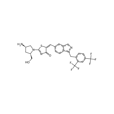 N[C@@H]1C[C@H](CO)N(C2=NC(=O)/C(=C\c3ccc4c(cnn4Cc4ccc(C(F)(F)F)cc4C(F)(F)F)c3)S2)C1